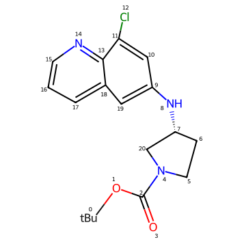 CC(C)(C)OC(=O)N1CC[C@@H](Nc2cc(Cl)c3ncccc3c2)C1